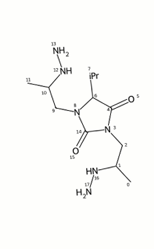 CC(CN1C(=O)C(C(C)C)N(CC(C)NN)C1=O)NN